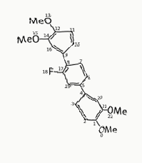 COc1ccc(-c2ccc(-c3ccc(OC)c(OC)c3)c(F)c2)cc1OC